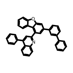 c1ccc(-c2cccc(-c3cc(-c4cc(-c5ccccc5)c5ccccc5n4)c4c(c3)oc3ccccc34)c2)cc1